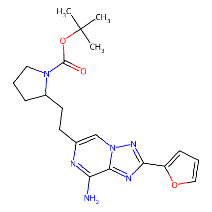 CC(C)(C)OC(=O)N1CCCC1CCc1cn2nc(-c3ccco3)nc2c(N)n1